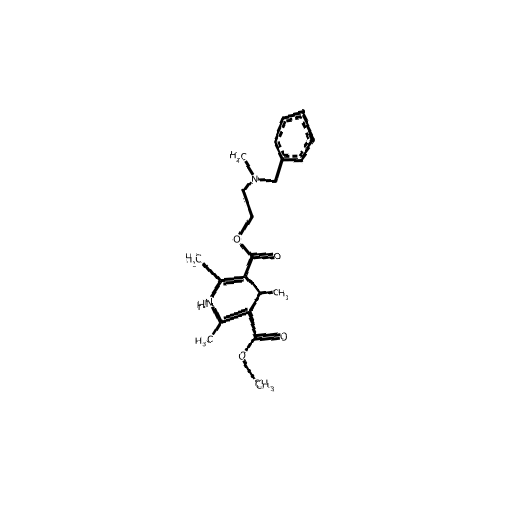 COC(=O)C1=C(C)NC(C)=C(C(=O)OCCN(C)Cc2ccccc2)C1C